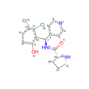 O=C(N[C@H](c1ccncc1)c1c(O)ccc(Cl)c1Cl)[C@H]1CCCN1